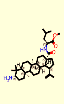 C=C(C)[C@@H]1CC[C@]2(C(=O)N[C@@H](CC(C)C)C(=O)OC)CC[C@]3(C)[C@H](CCC4[C@@]5(C)CC[C@H](N)C(C)(C)[C@@H]5CC[C@]43C)[C@@H]12